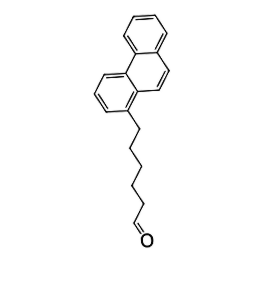 O=CCCCCCc1cccc2c1ccc1ccccc12